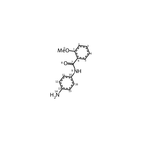 COc1ccccc1C(=O)Nc1ccc(N)cc1